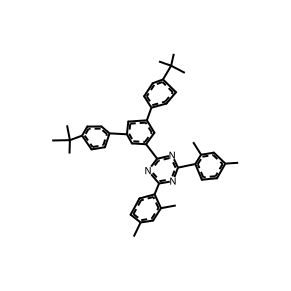 Cc1ccc(-c2nc(-c3cc(-c4ccc(C(C)(C)C)cc4)cc(-c4ccc(C(C)(C)C)cc4)c3)nc(-c3ccc(C)cc3C)n2)c(C)c1